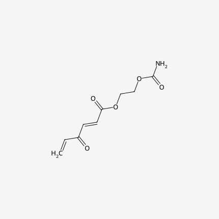 C=CC(=O)C=CC(=O)OCCOC(N)=O